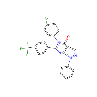 O=c1c2cnn(-c3ccccc3)c2nc(-c2ccc(C(F)(F)F)cc2)n1-c1ccc(Br)cc1